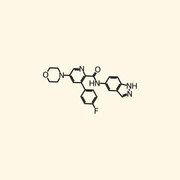 O=C(Nc1ccc2[nH]ncc2c1)c1ncc(N2CCOCC2)cc1-c1ccc(F)cc1